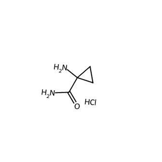 Cl.NC(=O)C1(N)CC1